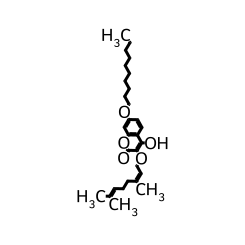 CCCCCCCCCCOc1ccc2c(O)c(OCC=C(C)CCC=C(C)C)c(=O)oc2c1